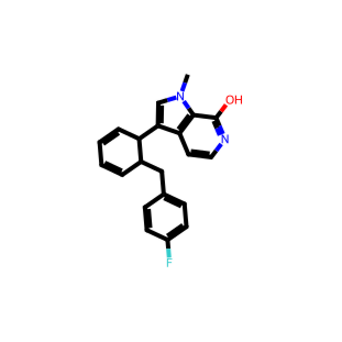 Cn1cc(C2C=CC=CC2Cc2ccc(F)cc2)c2ccnc(O)c21